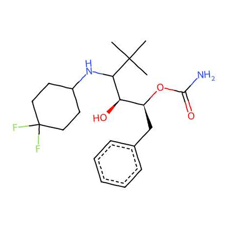 CC(C)(C)C(NC1CCC(F)(F)CC1)[C@H](O)[C@H](Cc1ccccc1)OC(N)=O